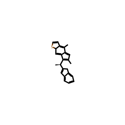 CC1=C([C@H](C)C2=Cc3ccccc3C2)C2=CC3SC=CC3=C(C)C2=C1